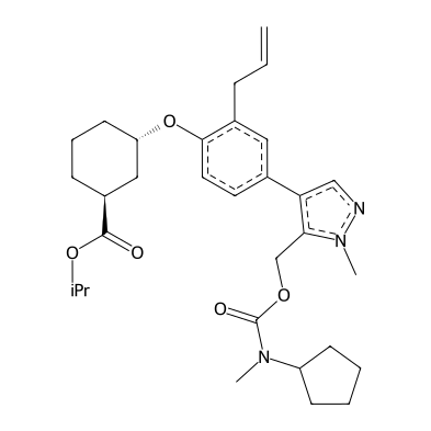 C=CCc1cc(-c2cnn(C)c2COC(=O)N(C)C2CCCC2)ccc1O[C@H]1CCC[C@H](C(=O)OC(C)C)C1